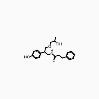 CC(O)COCC(CNC(=O)CCc1ccccc1)c1ccc(O)cc1